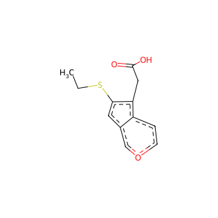 CCSc1cc2coccc-2c1CC(=O)O